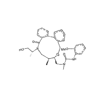 COc1ccccc1NC(=O)N(C)C[C@@H]1OCc2ccccc2-c2ccccc2C(=O)N([C@H](C)CO)C[C@@H]1C